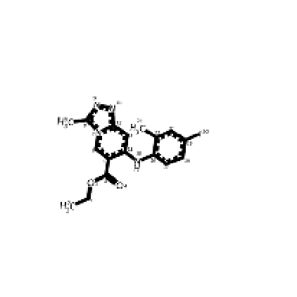 CCOC(=O)c1cn2c(C)nnc2cc1Nc1ccc(I)cc1C